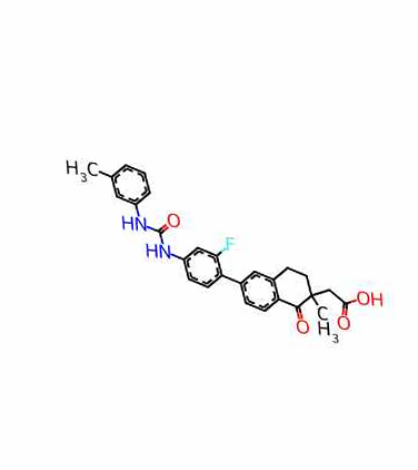 Cc1cccc(NC(=O)Nc2ccc(-c3ccc4c(c3)CCC(C)(CC(=O)O)C4=O)c(F)c2)c1